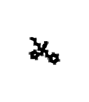 CCCCCC(C#N)(CCc1ccccc1)Cn1cncn1